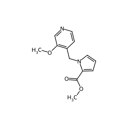 COC(=O)c1cccn1Cc1ccncc1OC